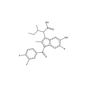 CCC(C)C(C(=O)O)c1c(C)n(C(=O)c2ccc(F)c(F)c2)c2cc(F)c(O)cc12